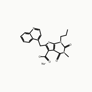 CCCn1c(=O)n(C)c(=O)c2c(C(=O)[O-])c(Cc3ccnc4ccccc34)sc21.[Na+]